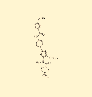 CC(C)N(c1cc(-c2ccc(NC(=O)c3ccc(CO)o3)cc2)sc1C(=O)O)C(=O)[C@H]1CC[C@H](C)CC1